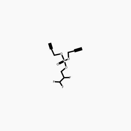 C#CCOP(=O)(OCC#C)OCC(F)C(F)F